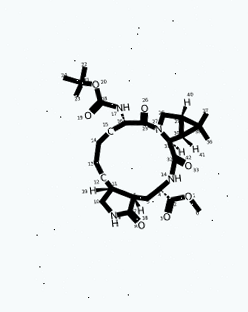 COC(=O)[C@@H]1C[C@@H]2C(=O)NC[C@@H]2CCCC[C@H](NC(=O)OC(C)(C)C)C(=O)N2C[C@H]3[C@@H]([C@H]2C(=O)N1)C3(C)C